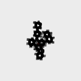 c1ccc(-c2ccc(N(c3cccc(-c4cccc5ccccc45)c3)c3ccccc3-c3ccc4oc5ccccc5c4c3)cc2)cc1